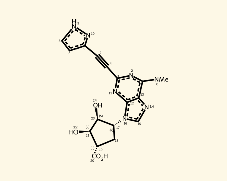 CNc1nc(C#Cc2cc[nH]n2)nc2c1ncn2[C@@H]1C[C@H](C(=O)O)[C@@H](O)[C@H]1O